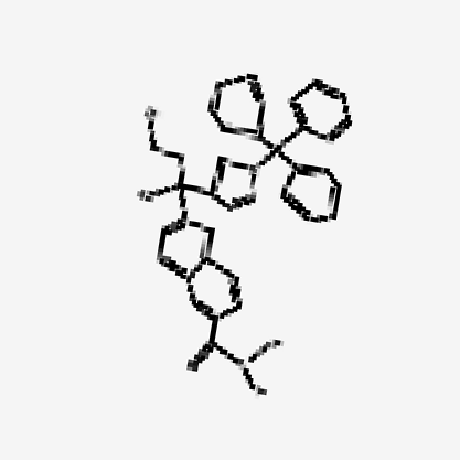 CC(C)N(C(=O)c1ccc2cc(C(O)(CCO)c3cn(C(c4ccccc4)(c4ccccc4)c4ccccc4)cn3)ccc2c1)C(C)C